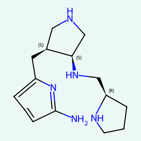 Nc1cccc(C[C@H]2CNC[C@H]2NC[C@H]2CCCN2)n1